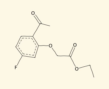 CCOC(=O)COc1cc(F)ccc1C(C)=O